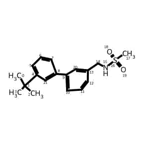 CC(C)(C)c1cccc(-c2cccc(CNS(C)(=O)=O)c2)c1